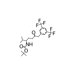 CC(C)C(CCC(=O)Cc1cc(C(F)(F)F)cc(C(F)(F)F)c1)NC(=O)OC(C)(C)C